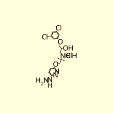 CC(C)(COc1ccc(NN)nn1)NCC(O)COc1cc(Cl)cc(Cl)c1.Cl